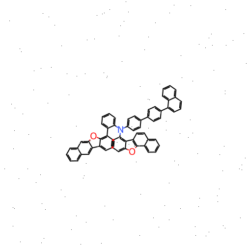 c1ccc(N(c2ccc(-c3ccc(-c4cccc5ccccc45)cc3)cc2)c2cccc3oc4c5ccccc5ccc4c23)c(-c2cccc3c2oc2cc4ccccc4cc23)c1